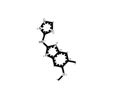 COc1cc2oc(Nc3nnco3)nc2cc1C